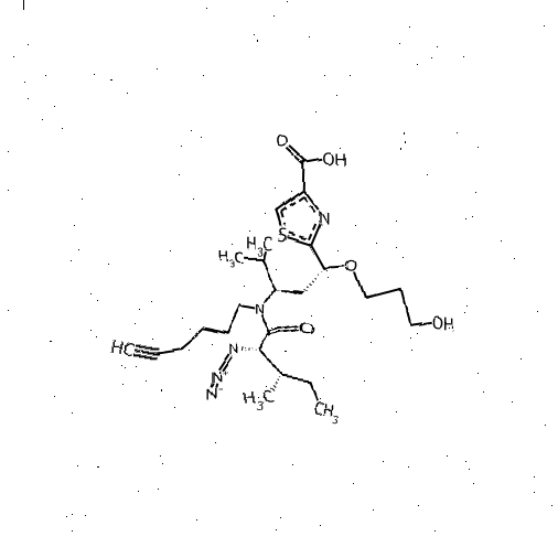 C#CCCCCN(C(=O)[C@@H](N=[N+]=[N-])[C@@H](C)CC)[C@H](C[C@@H](OCCCO)c1nc(C(=O)O)cs1)C(C)C